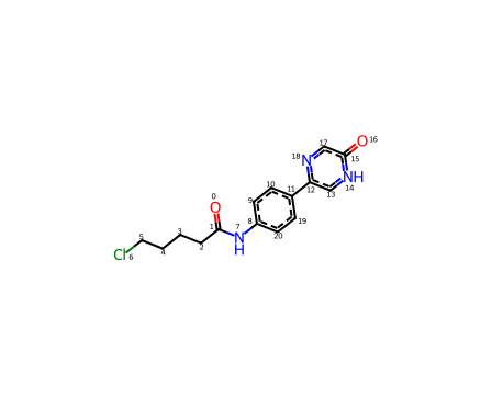 O=C(CCCCCl)Nc1ccc(-c2c[nH]c(=O)cn2)cc1